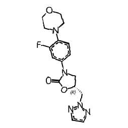 O=C1O[C@@H](Cn2nccn2)CN1c1ccc(N2CCOCC2)c(F)c1